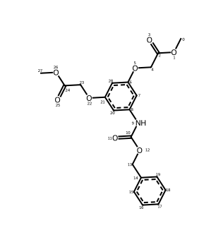 COC(=O)COc1cc(NC(=O)OCc2ccccc2)cc(OCC(=O)OC)c1